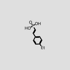 CCc1ccc(/C=C/P(=O)(O)O)cc1